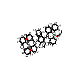 N#Cc1c(C#N)c(N2c3ccccc3[Si]3(c4ccccc4Oc4ccccc43)c3ccccc32)c2c(c1N1c3ccccc3[Si]3(c4ccccc4Oc4ccccc43)c3ccccc31)C1CCC2C1